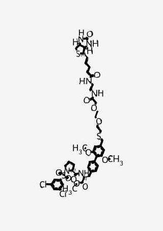 COC(=O)[C@H](Cc1ccc(-c2c(OC)cc(CSCCOCCOCC(=O)NCCNC(=O)CCCC[C@H]3SC[C@H]4NC(=O)N[C@H]43)cc2OC)cc1)NC(=O)[C@@H]1CCCN1S(=O)(=O)c1cc(Cl)cc(Cl)c1